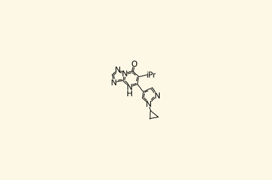 CC(C)c1c(-c2cnn(C3CC3)c2)[nH]c2ncnn2c1=O